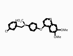 COc1cc2nccc(Oc3ccc(N(Cc4cccc(Cl)c4)C(=O)O)cc3)c2cc1OC